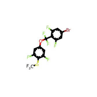 Fc1cc(OC(F)(F)c2c(F)cc(Br)cc2F)cc(F)c1SC(F)(F)F